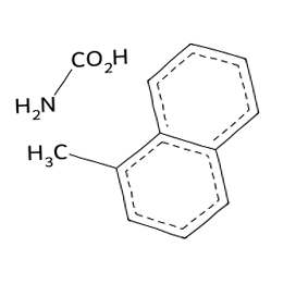 Cc1cccc2ccccc12.NC(=O)O